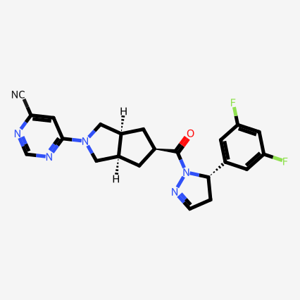 N#Cc1cc(N2C[C@H]3C[C@@H](C(=O)N4N=CC[C@H]4c4cc(F)cc(F)c4)C[C@H]3C2)ncn1